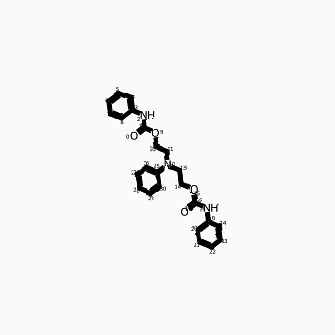 O=C(Nc1ccccc1)OCCN(CCOC(=O)Nc1ccccc1)c1ccccc1